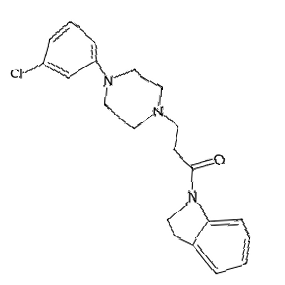 O=C(CCN1CCN(c2cccc(Cl)c2)CC1)N1CCc2ccccc21